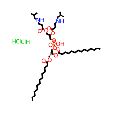 CCCCCCCCCCCCCC(=O)OC[C@H](COP(=O)(O)OCC(COC(=O)CCNCC(C)C)OC(=O)CCNCC(C)C)OC(=O)CCCCCCCCCCCCC.Cl.Cl